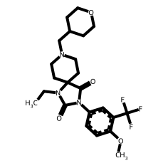 CCN1C(=O)N(c2ccc(OC)c(C(F)(F)F)c2)C(=O)C12CCN(CC1CCOCC1)CC2